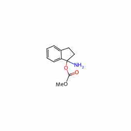 COC(=O)OC1(N)CCc2ccccc21